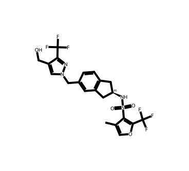 Cc1coc(C(F)(F)F)c1S(=O)(=O)N[C@@H]1Cc2ccc(Cn3cc(CO)c(C(F)(F)F)n3)cc2C1